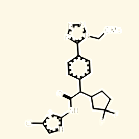 COCn1nnnc1-c1ccc(C(C(=O)Nc2ncc(Cl)s2)C2CCC(F)(F)C2)cc1